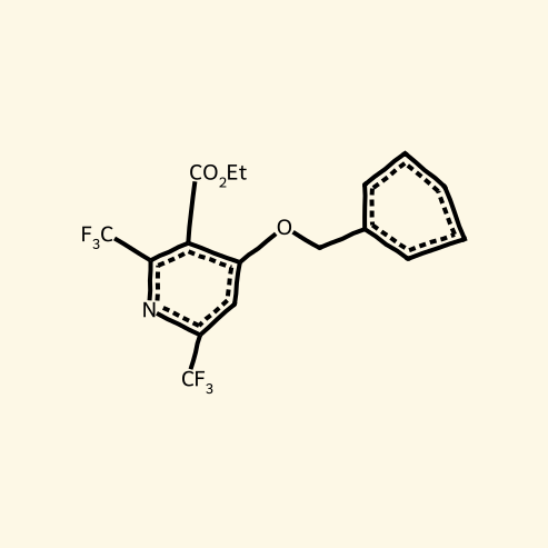 CCOC(=O)c1c(OCc2ccccc2)cc(C(F)(F)F)nc1C(F)(F)F